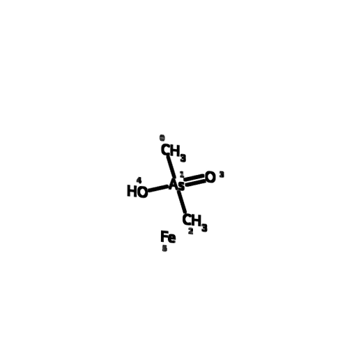 C[As](C)(=O)O.[Fe]